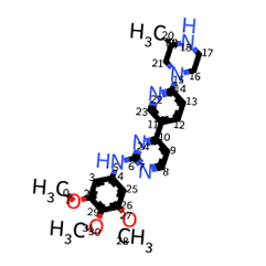 COc1cc(Nc2nccc(-c3ccc(N4CCN[C@H](C)C4)nc3)n2)cc(OC)c1OC